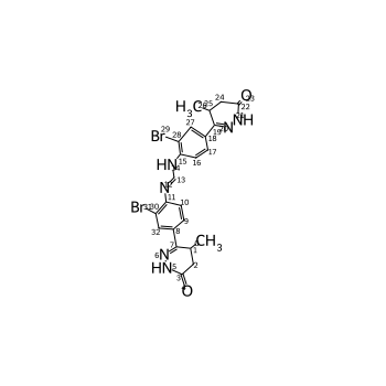 CC1CC(=O)NN=C1c1ccc(N=CNc2ccc(C3=NNC(=O)CC3C)cc2Br)c(Br)c1